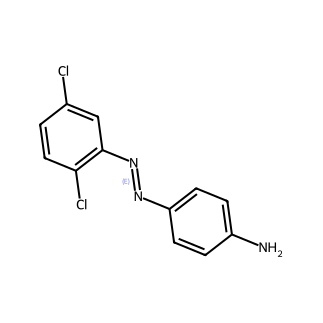 Nc1ccc(/N=N/c2cc(Cl)ccc2Cl)cc1